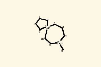 CN1CCC[Si]2(CCCC2)CC1